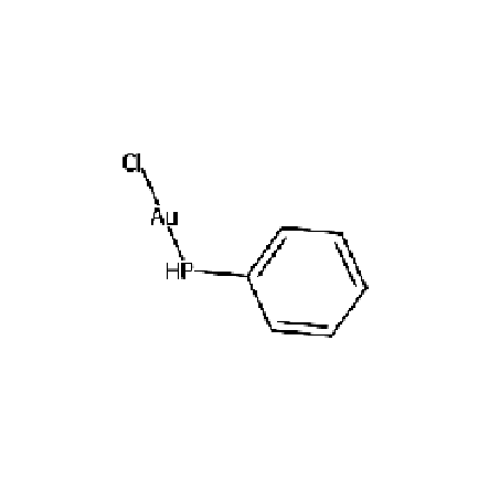 [Cl][Au][PH]c1ccccc1